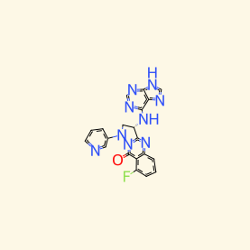 O=c1c2c(F)cccc2nc2n1N(c1cccnc1)C[C@@H]2Nc1ncnc2[nH]cnc12